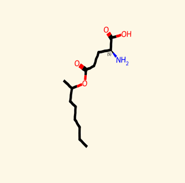 CCCCCCC(C)OC(=O)CC[C@H](N)C(=O)O